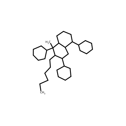 CCCCCCC1C(C2CCCCC2)CC2C(C3CCCCC3)CCCC2C1(C)C1CCCCC1